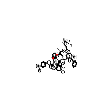 COC1CC(=O)C(C(=O)[C@@H]2CCCN2C(=O)[C@H](C)NC(=O)[C@H](CCCCN)NC(=O)c2ccccc2)(N(C(=O)Oc2ccc([N+](=O)[O-])cc2)C(C)C)C1=O